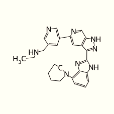 CCNCc1cncc(-c2cc3c(-c4nc5c(N6CCCCC6)cccc5[nH]4)n[nH]c3cn2)c1